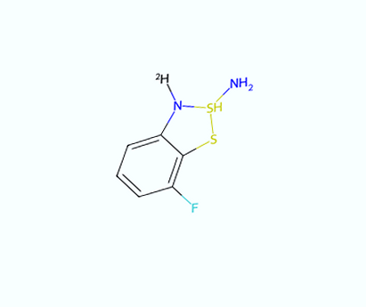 [2H]N1c2cccc(F)c2S[SH]1N